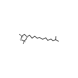 CC(C)CCCCCCCCCCN1C[C@@H](C)O[C@@H](C)C1